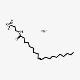 CCCCCCCCC/C=C\CCCCCCCC(=O)NCCS(=O)(=O)[O-].[Na+]